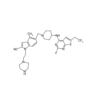 Cc1c(CN2CCC(Nc3nc(F)nc4sc(CC(F)(F)F)cc34)CC2)ccc2c1cc(C#N)n2CCN1CCNCC1